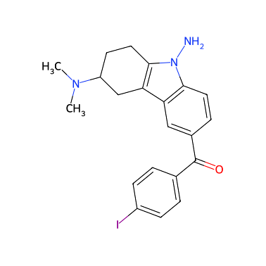 CN(C)C1CCc2c(c3cc(C(=O)c4ccc(I)cc4)ccc3n2N)C1